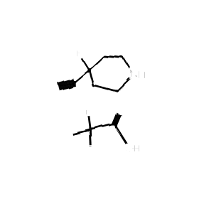 C#CC1(F)CCNCC1.O=C(O)C(F)(F)F